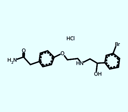 Cl.NC(=O)Cc1ccc(OCCNCC(O)c2cccc(Br)c2)cc1